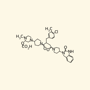 Cc1cc(CC(CC(=O)N2CCC(N3Cc4ccccc4NC3=O)CC2)C(=O)N2CCC(N3CCN(C)C(OC(=O)O)C3)CC2)ccc1Cl